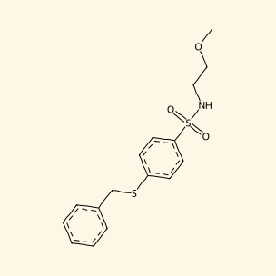 COCCNS(=O)(=O)c1ccc(SCc2ccccc2)cc1